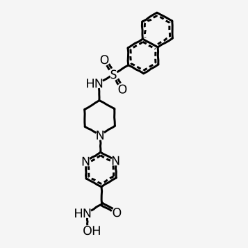 O=C(NO)c1cnc(N2CCC(NS(=O)(=O)c3ccc4ccccc4c3)CC2)nc1